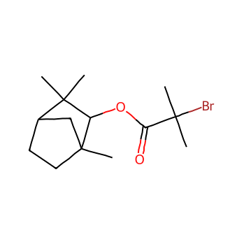 CC(C)(Br)C(=O)OC1C2(C)CCC(C2)C1(C)C